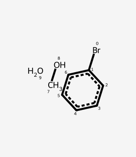 Brc1ccccc1.CO.O